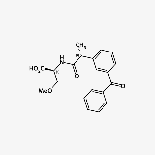 COC[C@H](NC(=O)[C@H](C)c1cccc(C(=O)c2ccccc2)c1)C(=O)O